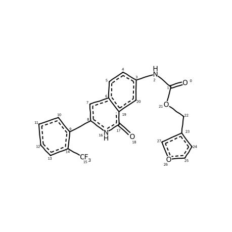 O=C(Nc1ccc2cc(-c3ccccc3C(F)(F)F)[nH]c(=O)c2c1)OCc1ccoc1